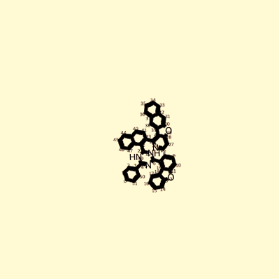 c1ccc(C2=NC(c3cccc4oc5ccccc5c34)NC(c3c(-c4nccc5oc6cc7ccccc7cc6c45)ccc4ccccc34)N2)cc1